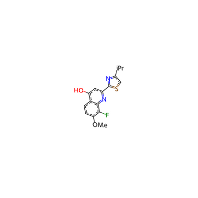 COc1ccc2c(O)cc(-c3nc(C(C)C)cs3)nc2c1F